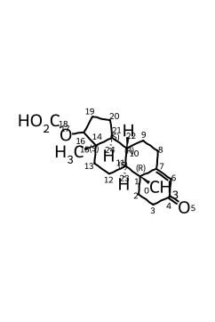 C[C@]12CCC(=O)C=C1CC[C@@H]1[C@@H]2CC[C@]2(C)C(OC(=O)O)CC[C@@H]12